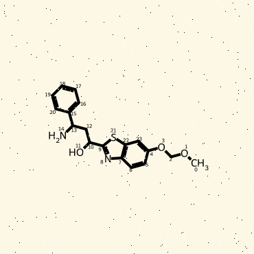 COCOc1ccc2nc(C(O)CC(N)c3ccccc3)sc2c1